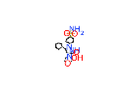 NS(=O)(=O)c1ccc(N2NC(C(=O)O)(N3CCOCC3)C=C2c2ccccc2)cc1